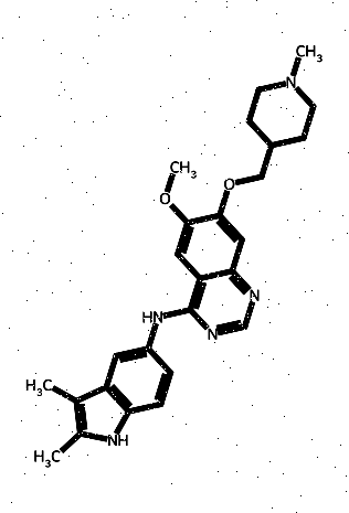 COc1cc2c(Nc3ccc4[nH]c(C)c(C)c4c3)ncnc2cc1OCC1CCN(C)CC1